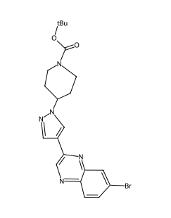 CC(C)(C)OC(=O)N1CCC(n2cc(-c3cnc4ccc(Br)cc4n3)cn2)CC1